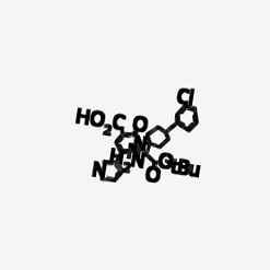 CC(C)(C)OC(=O)C(N)C1(n2nc(-c3cccnc3)cc(C(=O)O)c2=O)CCC(c2cccc(Cl)c2)CC1